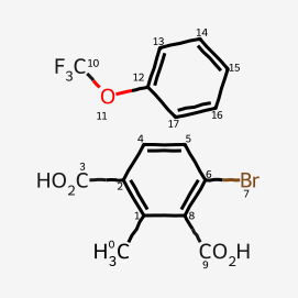 Cc1c(C(=O)O)ccc(Br)c1C(=O)O.FC(F)(F)Oc1ccccc1